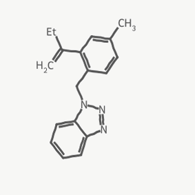 C=C(CC)c1cc(C)ccc1Cn1nnc2ccccc21